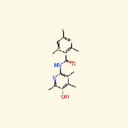 Cc1cc(C)c(C(=O)Nc2nc(C)c(O)c(C)c2C)c(C)c1